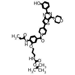 C=CC(=O)Nc1ccc(C(=O)N2CC=C(c3cc4nc(-c5cccc(O)c5)nc(N5CCOCC5)c4s3)CC2)cc1OCCCNC(=O)OC(C)(C)C